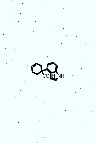 O=C(O)C1(c2cccc3[nH]ccc23)CC=CCC1